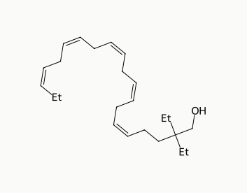 CC/C=C\C/C=C\C/C=C\C/C=C\C/C=C\CCC(CC)(CC)CO